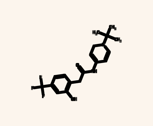 CC(C)(C)N1C=CC(NC(=O)Cc2ccc(C(F)(F)F)cc2O)=CC1